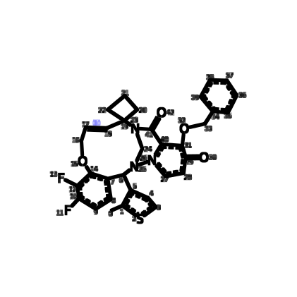 Cc1sccc1C1c2ccc(F)c(F)c2OC/C=C/C2(CCC2)N2CN1n1ccc(=O)c(OCc3ccccc3)c1C2=O